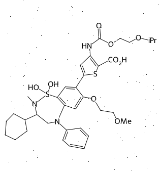 COCCOc1cc2c(cc1-c1cc(NC(=O)OCCOC(C)C)c(C(=O)O)s1)S(O)(O)N(C)C(C1CCCCC1)CN2c1ccccc1